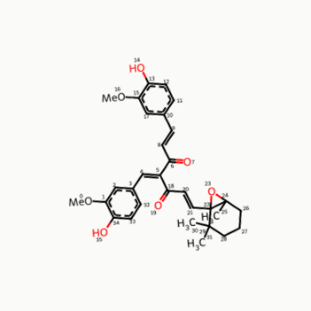 COc1cc(/C=C(/C(=O)/C=C/c2ccc(O)c(OC)c2)C(=O)/C=C/C23OC2(C)CCCC3(C)C)ccc1O